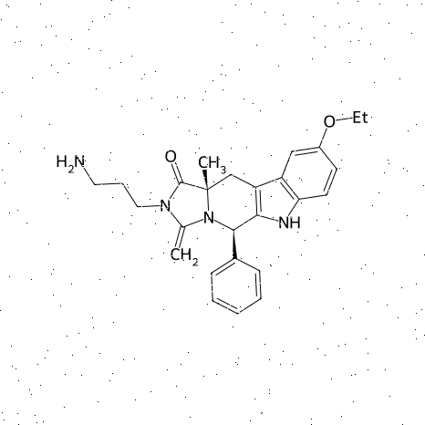 C=C1N(CCCN)C(=O)[C@]2(C)Cc3c([nH]c4ccc(OCC)cc34)[C@@H](c3ccccc3)N12